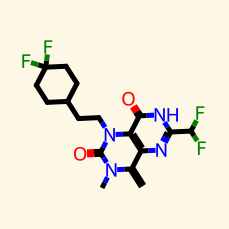 C=C1c2nc(C(F)F)[nH]c(=O)c2N(CCC2CCC(F)(F)CC2)C(=O)N1C